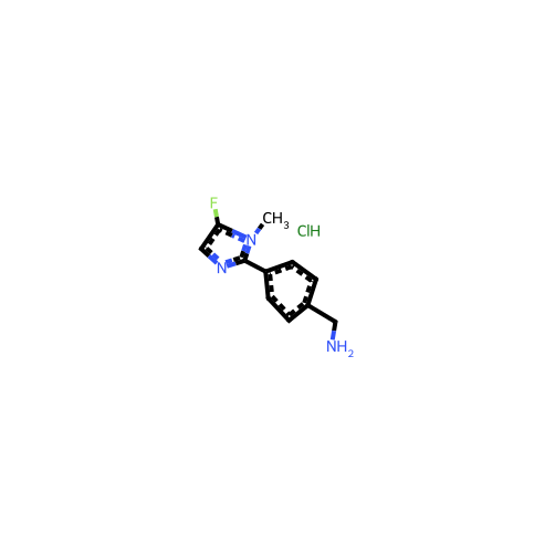 Cl.Cn1c(F)cnc1-c1ccc(CN)cc1